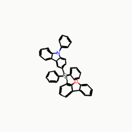 c1ccc(-n2c3ccccc3c3cc([Si](c4ccccc4)(c4ccccc4)c4cccc5c4oc4ccccc45)ccc32)cc1